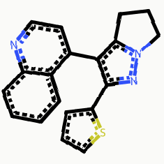 c1csc(-c2nn3c(c2-c2ccnc4ccccc24)CCC3)c1